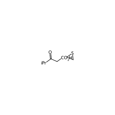 C1CS1.CC(C)C(=O)CC(=O)O